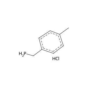 Cc1ccc(CP)cc1.Cl